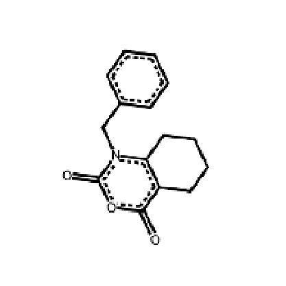 O=c1oc(=O)n(Cc2ccccc2)c2c1CCCC2